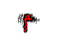 CC[C@H]1OC(=O)[C@H](C)[C@@H](O[C@H]2C[C@@](C)(OC)[C@@H](O)[C@H](C)O2)[C@H](C)[C@@H](O[C@@H]2O[C@H](C)C[C@H](N(C)CCCc3cn(C[C@H]4CN(c5ccc(N6CCOCC6)c(F)c5)C(=O)O4)nn3)[C@H]2O)[C@](C)(O)C[C@@H](C)C(=O)[C@H](C)[C@@H](O)[C@]1(C)O